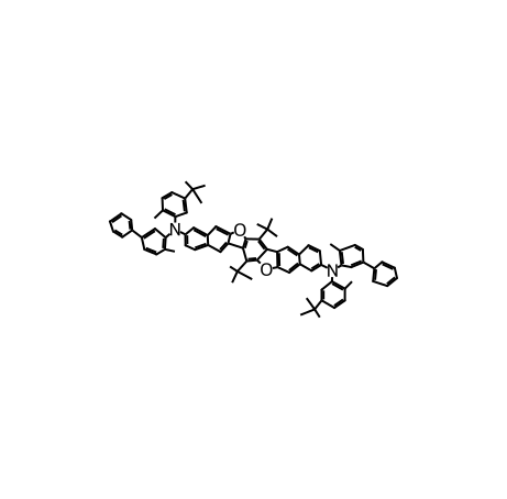 Cc1ccc(-c2ccccc2)cc1N(c1ccc2cc3c(cc2c1)oc1c(C(C)(C)C)c2c(oc4cc5cc(N(c6cc(-c7ccccc7)ccc6C)c6cc(C(C)(C)C)ccc6C)ccc5cc42)c(C(C)(C)C)c13)c1cc(C(C)(C)C)ccc1C